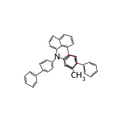 Cc1ccc(-c2cccc3cccc(N(c4ccc(-c5ccccc5)cc4)c4ccc(-c5ccccc5)cc4)c23)cc1